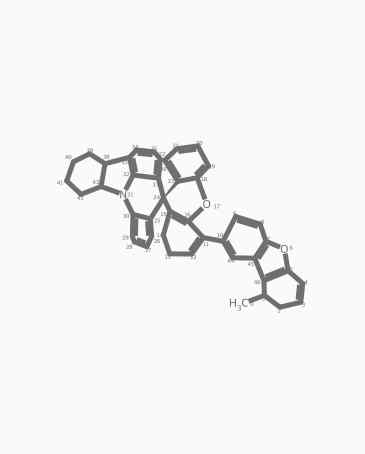 CC1CC=Cc2oc3ccc(C4=CCCC5=C4Oc4ccccc4[C@]54c5ccccc5N5c6c(cccc64)C4CCCCC45)cc3c21